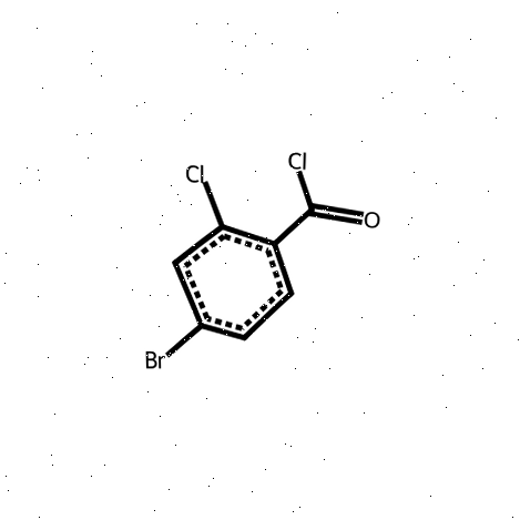 O=C(Cl)c1ccc(Br)cc1Cl